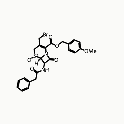 COc1ccc(COC(=O)C2=C(CBr)C[S+]([O-])[C@H]3C(NC(=O)Cc4ccccc4)C(=O)N23)cc1